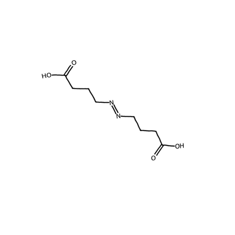 O=C(O)CCCN=NCCCC(=O)O